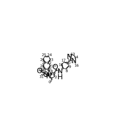 Cc1cc(C(=O)Nc2ccc(C3=NCCN3C)cc2)n(-c2cc3ccccc3cc2S(C)(=O)=O)n1